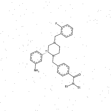 CCN(CC)C(=O)c1ccc(CN2CCN(Cc3ccccc3F)C[C@H]2c2cccc(N)c2)cc1